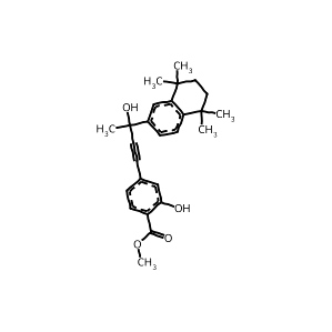 COC(=O)c1ccc(C#CC(C)(O)c2ccc3c(c2)C(C)(C)CCC3(C)C)cc1O